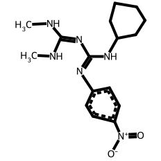 CNC(=N/C(=N/c1ccc([N+](=O)[O-])cc1)NC1CCCCC1)NC